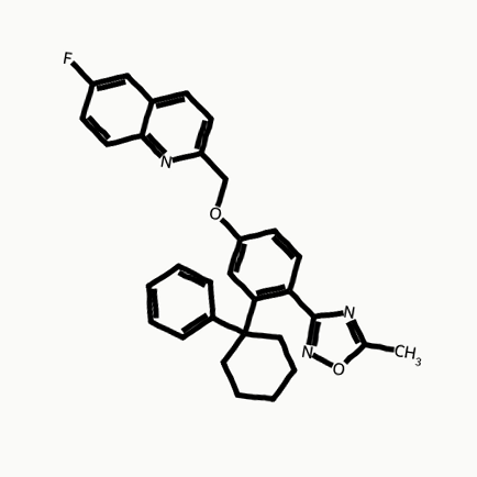 Cc1nc(-c2ccc(OCc3ccc4cc(F)ccc4n3)cc2C2(c3ccccc3)CCCCC2)no1